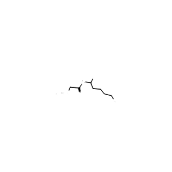 CCCCCCCCC(=O)NC(CCCCN)C(=O)O